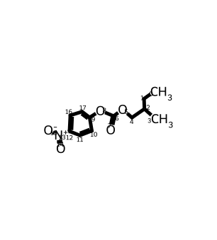 CCC(C)COC(=O)Oc1ccc([N+](=O)[O-])cc1